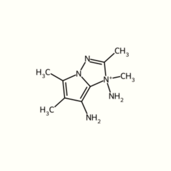 CC1=Nn2c(C)c(C)c(N)c2[N+]1(C)N